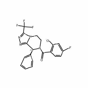 O=C(c1ccc(F)cc1Cl)N1CCn2c(nnc2C(F)(F)F)[C@@H]1c1ccccc1